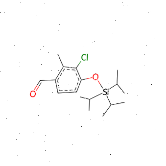 Cc1c(C=O)ccc(O[Si](C(C)C)(C(C)C)C(C)C)c1Cl